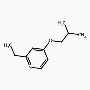 CCc1cc(OCC(C)C)ccn1